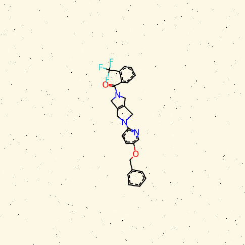 O=C(c1ccccc1C(F)(F)F)N1CC2=C(C1)CN(c1ccc(OCc3ccccc3)cn1)C2